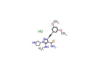 CNc1c(C(N)=O)c(C#Cc2cc(OC)cc(OC)c2)nn1C1CCNC1.Cl